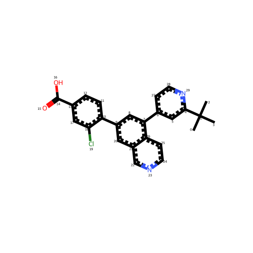 CC(C)(C)c1cc(-c2cc(-c3ccc(C(=O)O)cc3Cl)cc3cnccc23)ccn1